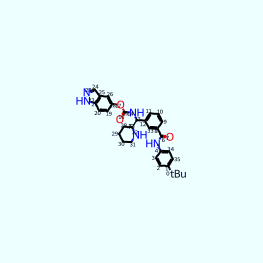 CC(C)(C)c1ccc(NC(=O)c2cccc(C(NC(=O)Oc3ccc4[nH]ncc4c3)[C@@H]3CCCCN3)c2)cc1